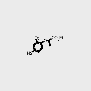 CCOC(=O)C(C)Oc1ccc(S)cc1CC